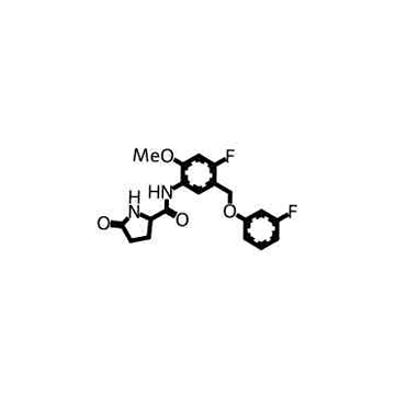 COc1cc(F)c(COc2cccc(F)c2)cc1NC(=O)C1CCC(=O)N1